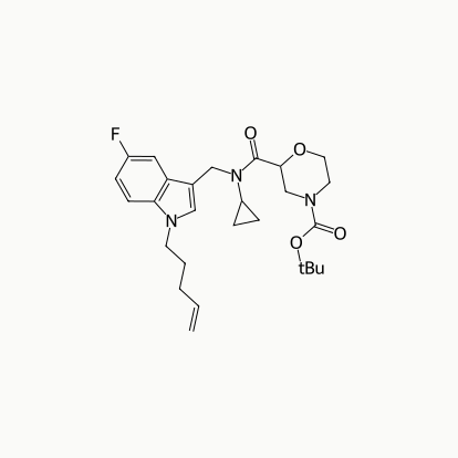 C=CCCCn1cc(CN(C(=O)C2CN(C(=O)OC(C)(C)C)CCO2)C2CC2)c2cc(F)ccc21